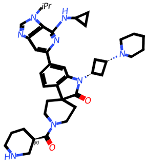 CC(C)n1cnc2cc(-c3ccc4c(c3)N([C@H]3C[C@@H](N5CCCCC5)C3)C(=O)C43CCN(C(=O)[C@@H]4CCCNC4)CC3)nc(NC3CC3)c21